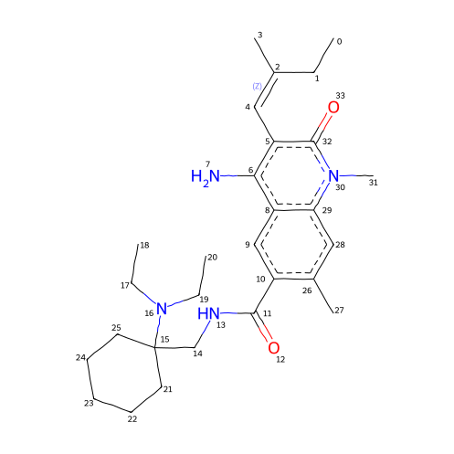 CC/C(C)=C\c1c(N)c2cc(C(=O)NCC3(N(CC)CC)CCCCC3)c(C)cc2n(C)c1=O